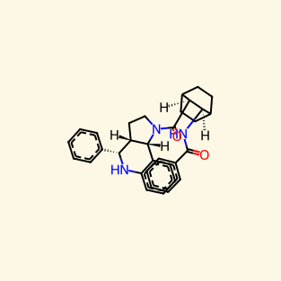 O=C(N[C@@H]1C2CCC(CC2)[C@@H]1C(=O)N1CC[C@H]2[C@@H](c3ccccc3)Nc3ccccc3[C@H]21)c1ccccc1